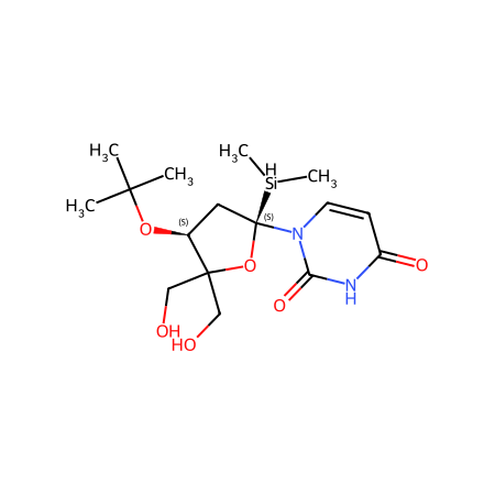 C[SiH](C)[C@]1(n2ccc(=O)[nH]c2=O)C[C@H](OC(C)(C)C)C(CO)(CO)O1